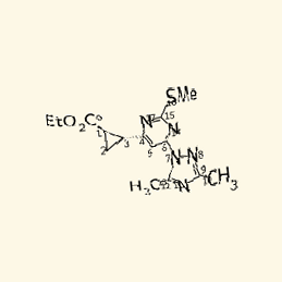 CCOC(=O)[C@@H]1C[C@H]1c1cc(-n2nc(C)nc2C)nc(SC)n1